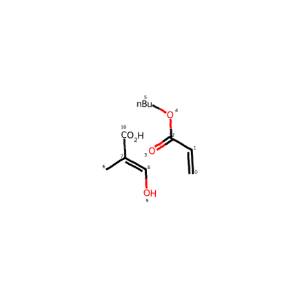 C=CC(=O)OCCCC.CC(=CO)C(=O)O